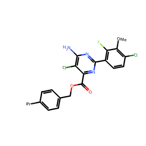 COc1c(Cl)ccc(-c2nc(N)c(Cl)c(C(=O)OCc3ccc(C(C)C)cc3)n2)c1F